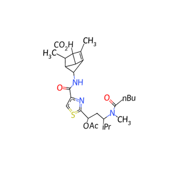 CCCCC(=O)N(C)C(CC(OC(C)=O)c1nc(C(=O)NC2C3=C(C)C4(C(=O)O)C(C)C2C34)cs1)C(C)C